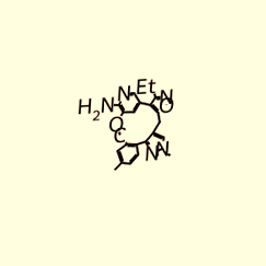 CCc1noc2c1-c1cnc(N)c(c1)OCc1cc(C)ccc1-c1nn(C)cc1C2